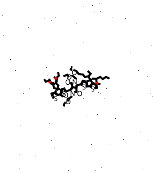 CCCCCC(CC)C1(CC(CC)CCCC)c2ccsc2-c2sc(C3=C4C(=O)N(CC(OCC)OCC)C(c5cc6c(s5)-c5sccc5C6(CC(CC)CCCC)CC(CC)CCCC)=C4C(=O)N3CC(OCC)OCC)cc21